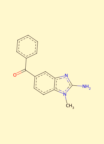 Cn1c(N)nc2cc(C(=O)c3ccccc3)ccc21